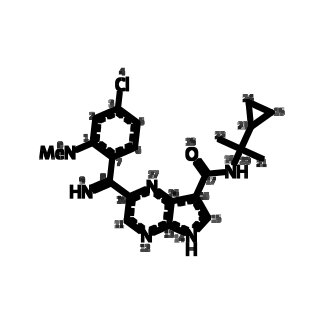 CNc1cc(Cl)ccc1C(=N)c1cnc2[nH]cc(C(=O)NC(C)(C)C3CC3)c2n1